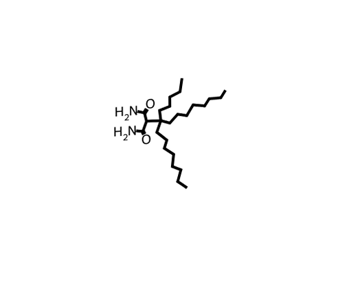 CCCCCCCCC(CCCCC)(CCCCCCCC)C(C(N)=O)C(N)=O